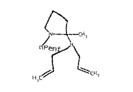 C=CCN(CC=C)C1(C)CCCN1CCCCC